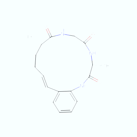 C[C@H]1CC/C=C/c2ccccc2NC(=O)[C@@H](C)NC(=O)CNC1=O